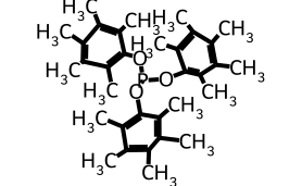 Cc1c(C)c(C)c(OP(Oc2c(C)c(C)c(C)c(C)c2C)Oc2c(C)c(C)c(C)c(C)c2C)c(C)c1C